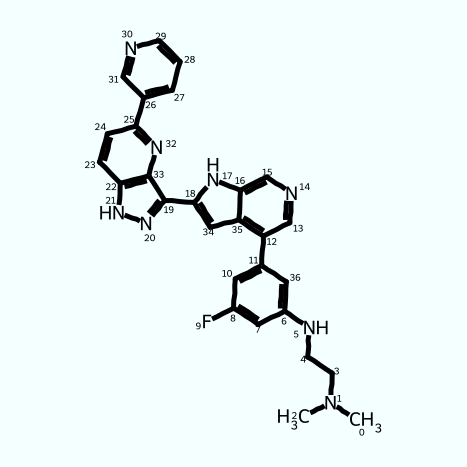 CN(C)CCNc1cc(F)cc(-c2cncc3[nH]c(-c4n[nH]c5ccc(-c6cccnc6)nc45)cc23)c1